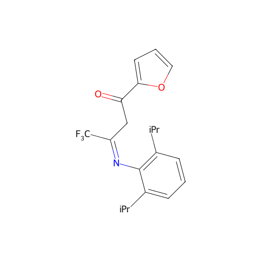 CC(C)c1cccc(C(C)C)c1N=C(CC(=O)c1ccco1)C(F)(F)F